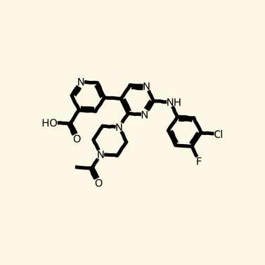 CC(=O)N1CCN(c2nc(Nc3ccc(F)c(Cl)c3)ncc2-c2cncc(C(=O)O)c2)CC1